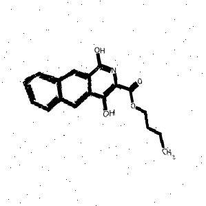 CCCCOC(=O)c1nc(O)c2cc3ccccc3cc2c1O